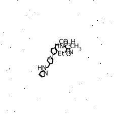 CCc1onc(C)c1C(=O)NC(Cc1ccc(N2CCC(CNc3ccccn3)CC2)cc1)C(=O)O